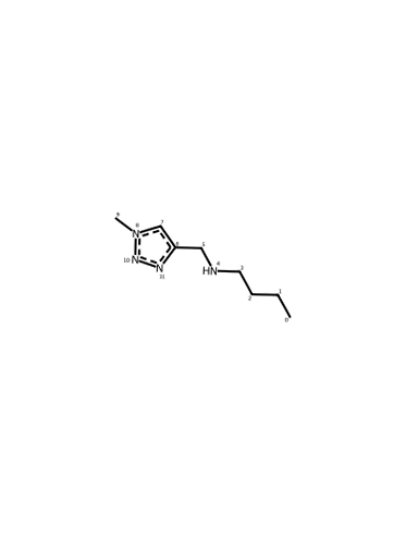 CCCCNCc1cn(C)nn1